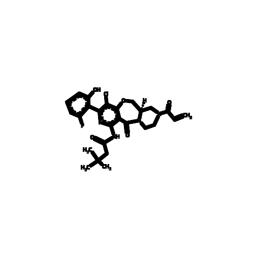 C=CC(=O)N1CCN2C(=O)c3c(NC(=O)CC(C)(C)C)nc(-c4c(O)cccc4F)c(Cl)c3OC[C@H]2C1